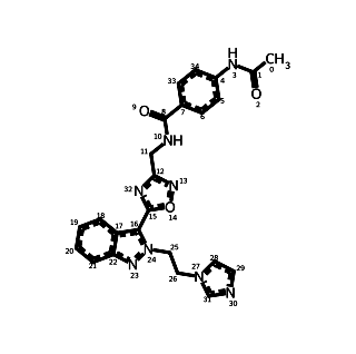 CC(=O)Nc1ccc(C(=O)NCc2noc(-c3c4ccccc4nn3CCn3ccnc3)n2)cc1